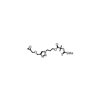 CSC(=S)SC(C)(C)C(=O)OCCCn1cc(COCC2CO2)nn1